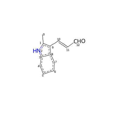 Cc1[nH]c2ccccc2c1C=CC=O